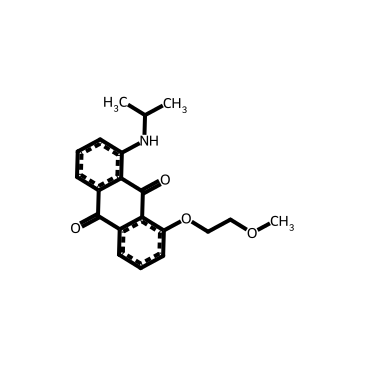 COCCOc1cccc2c1C(=O)c1c(NC(C)C)cccc1C2=O